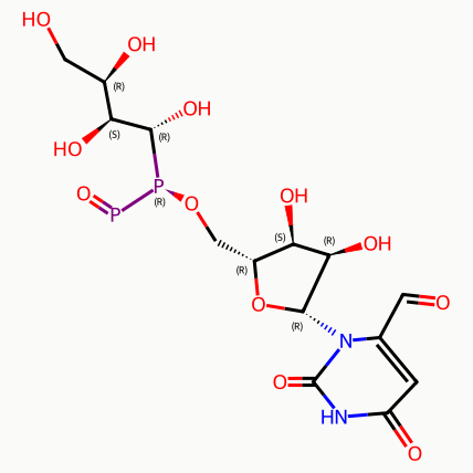 O=Cc1cc(=O)[nH]c(=O)n1[C@@H]1O[C@H](CO[P@@](P=O)[C@@H](O)[C@@H](O)[C@H](O)CO)[C@@H](O)[C@H]1O